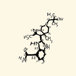 CC(=N)/C(=C1/Nc2cc(F)cc(C(N)=O)c2N1)C1(C)CCN(CC(C)(C)O)CC1